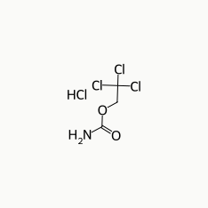 Cl.NC(=O)OCC(Cl)(Cl)Cl